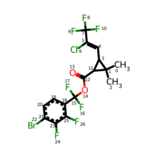 CC1(C)C(C=C(Cl)C(F)(F)F)C1C(=O)OC(F)(F)c1ccc(Br)c(F)c1F